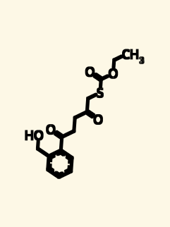 CCOC(=O)SCC(=O)CCC(=O)c1ccccc1CO